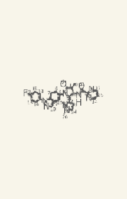 CC1C(=O)N(c2ccc3c(cnn3-c3ccc(F)cc3)c2)C(c2ccn(C)n2)C1NC(=O)c1ncccn1